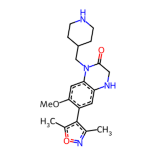 COc1cc2c(cc1-c1c(C)noc1C)NCC(=O)N2CC1CCNCC1